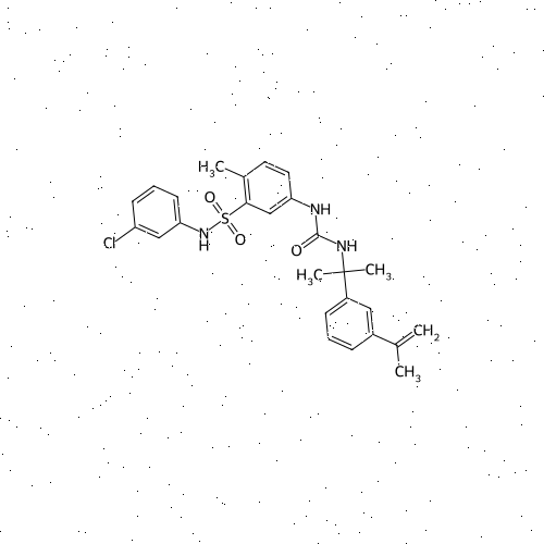 C=C(C)c1cccc(C(C)(C)NC(=O)Nc2ccc(C)c(S(=O)(=O)Nc3cccc(Cl)c3)c2)c1